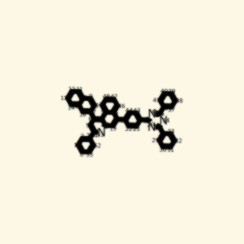 c1ccc(-c2cc(-c3ccc4ccccc4c3)c3c(cc(-c4ccc(-c5nc(-c6ccccc6)nc(-c6ccccc6)n5)cc4)c4ccccc43)n2)cc1